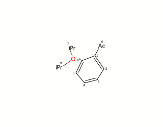 CC(=O)c1ccccc1.CC(C)OC(C)C